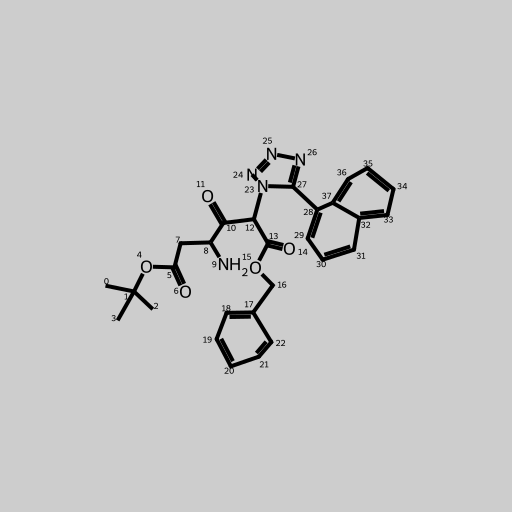 CC(C)(C)OC(=O)CC(N)C(=O)C(C(=O)OCc1ccccc1)n1nnnc1-c1cccc2ccccc12